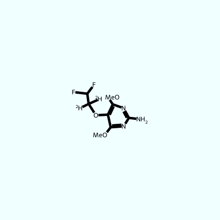 [2H]C([2H])(Oc1c(OC)nc(N)nc1OC)C(F)F